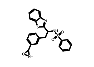 O=S(=O)(NC(Cc1cccc(C2NO2)c1)c1nc2ccccc2s1)c1ccccc1